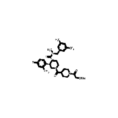 COCC(=O)N1CCC(C(=O)N2CC[C@@H](C(=O)N(C)Cc3cc(C(F)(F)F)cc(C(F)(F)F)c3)[C@H](c3ccc(F)cc3C)C2)CC1